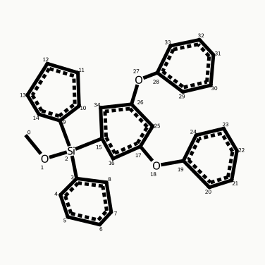 CO[Si](c1ccccc1)(c1ccccc1)c1cc(Oc2ccccc2)cc(Oc2ccccc2)c1